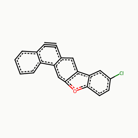 Clc1ccc2oc3cc4c(c#cc5ccccc54)cc3c2c1